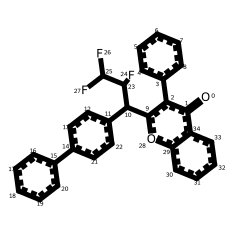 O=c1c(-c2ccccc2)c(C(c2ccc(-c3ccccc3)cc2)C(F)C(F)F)oc2ccccc12